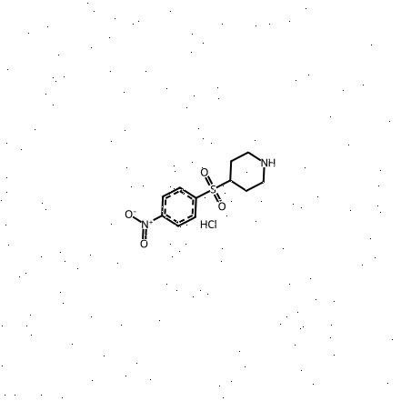 Cl.O=[N+]([O-])c1ccc(S(=O)(=O)C2CCNCC2)cc1